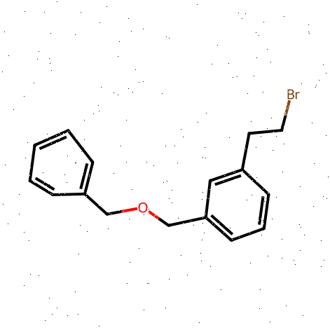 BrCCc1cccc(COCc2ccccc2)c1